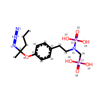 CCCC(C)(N=[N+]=[N-])Oc1ccc(CCN(CP(=O)(O)O)P(=O)(O)O)cc1